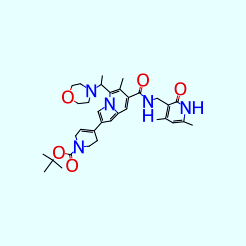 Cc1cc(C)c(CNC(=O)c2cc3cc(C4=CCN(C(=O)OC(C)(C)C)CC4)cn3c(C(C)N3CCOCC3)c2C)c(=O)[nH]1